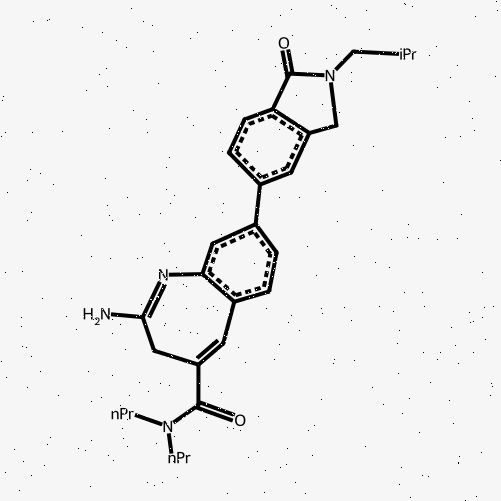 CCCN(CCC)C(=O)C1=Cc2ccc(-c3ccc4c(c3)CN(CC(C)C)C4=O)cc2N=C(N)C1